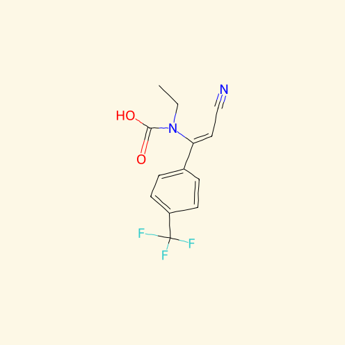 CCN(C(=O)O)C(=CC#N)c1ccc(C(F)(F)F)cc1